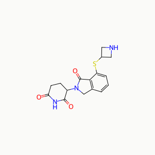 O=C1CCC(N2Cc3cccc(SC4CNC4)c3C2=O)C(=O)N1